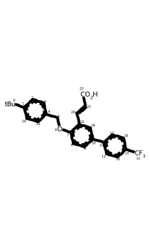 CC(C)(C)c1ccc(COc2ccc(-c3ccc(C(F)(F)F)cc3)cc2C=CC(=O)O)cc1